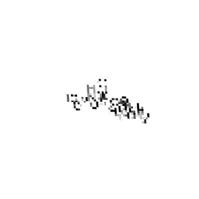 CC(C)(C)NS(=O)(=O)c1ccc(-c2sc(C(=O)N[C@H]3C[C@H](C(=O)O)C3)nc2CC2CCCCC2)c2c1CCC2